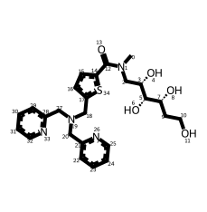 CN(C[C@H](O)[C@@H](O)[C@H](O)CCO)C(=O)c1ccc(CN(Cc2ccccn2)Cc2ccccn2)s1